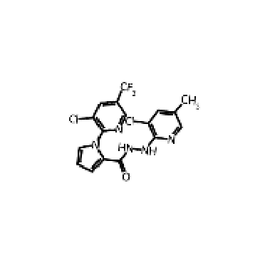 Cc1cnc(NNC(=O)c2cccn2-c2ncc(C(F)(F)F)cc2Cl)c(Cl)c1